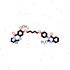 COc1cc2c(cc1OCCCCCOc1ccc(-n3c(C)nc4ccccc4c3=O)cc1)N=C[C@@H]1CCCN1C2=O